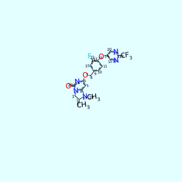 C[C@H]1Cn2c(cc(OCc3ccc(Oc4cnc(C(F)(F)F)nc4)c(F)c3)nc2=O)N1C